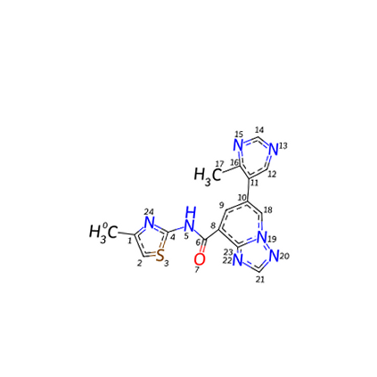 Cc1csc(NC(=O)c2cc(-c3cncnc3C)cn3ncnc23)n1